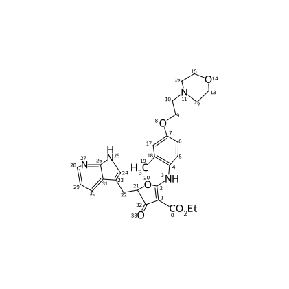 CCOC(=O)C1=C(Nc2ccc(OCCN3CCOCC3)cc2C)OC(Cc2c[nH]c3ncccc23)C1=O